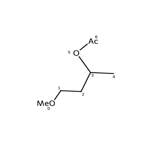 COCCC(C)OC(C)=O